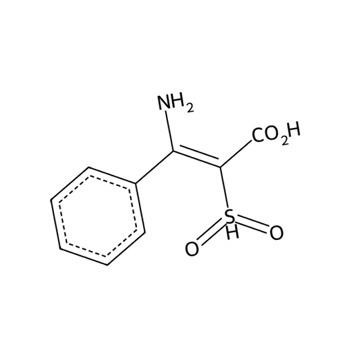 NC(=C(C(=O)O)[SH](=O)=O)c1ccccc1